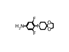 Nc1cc(F)c(N2CCC3(CC2)OCCO3)c(F)c1